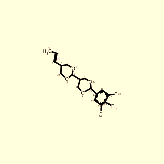 C/C=C/C1COC(C2COC(c3cc(F)c(F)c(F)c3)OC2)OC1